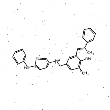 CC(=Cc1cc(CNc2ccc(Nc3ccccc3)cc2)cc(C)c1O)c1ccccc1